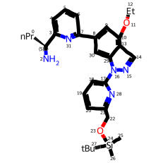 CCC[C@H](N)c1cccc(-c2cc(OCC)c3cnn(-c4cccc(CO[Si](C)(C)C(C)(C)C)n4)c3c2)n1